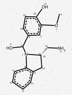 COc1cc(C(O)N2c3ccccc3C[C@H]2CN)ccc1O